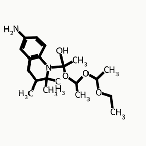 CCOC(C)OC(C)OC(C)(O)N1c2ccc(N)cc2CC(C)C1(C)C